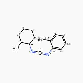 CCC1CCCCC1N=C=Nc1ccccc1C(C)C